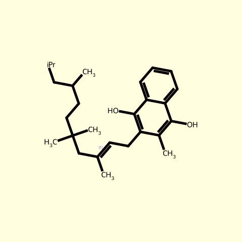 C/C(=C\Cc1c(C)c(O)c2ccccc2c1O)CC(C)(C)CCC(C)CC(C)C